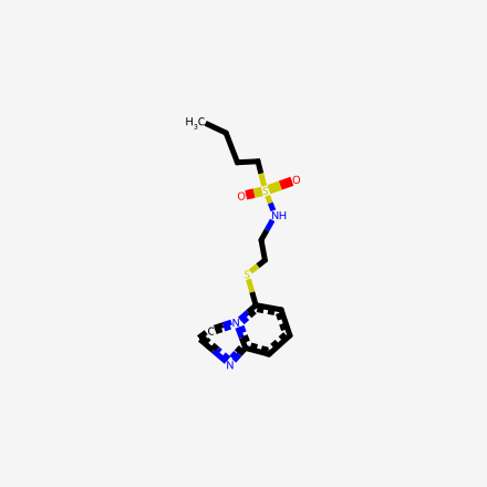 CCCCS(=O)(=O)NCCSc1cccc2nccn12